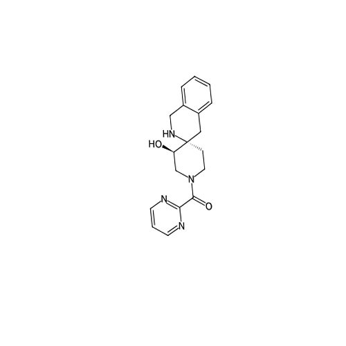 O=C(c1ncccn1)N1CC[C@]2(Cc3ccccc3CN2)[C@H](O)C1